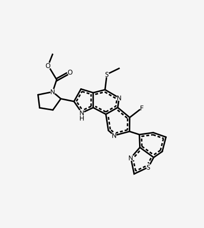 COC(=O)N1CCCC1c1cc2c(SC)nc3c(F)c(-c4cccc5scnc45)ncc3c2[nH]1